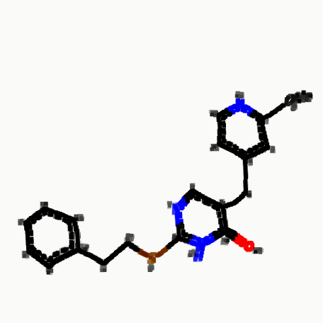 COc1cc(Cc2cnc(SCCc3ccccc3)[nH]c2=O)ccn1